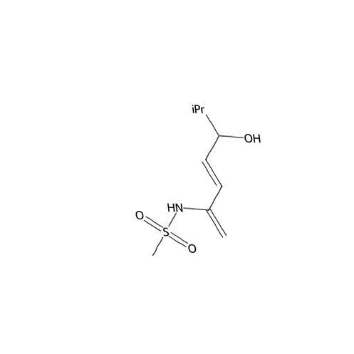 C=C(C=CC(O)C(C)C)NS(C)(=O)=O